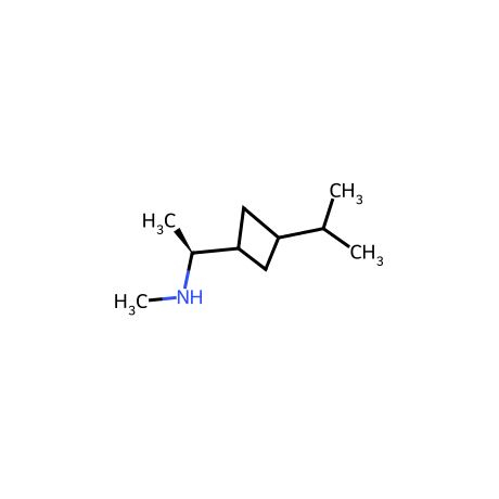 CN[C@@H](C)C1CC(C(C)C)C1